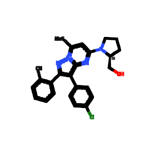 CSc1cc(N2CCC[C@H]2CO)nc2c(-c3ccc(Cl)cc3)c(-c3ccccc3C#N)nn12